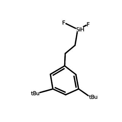 CC(C)(C)c1cc(CC[SiH](F)F)cc(C(C)(C)C)c1